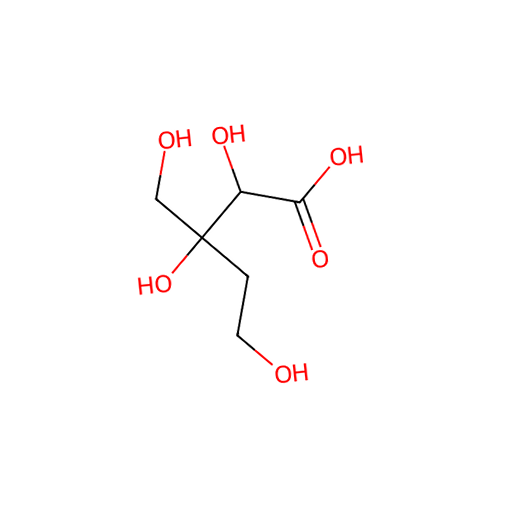 O=C(O)C(O)C(O)(CO)CCO